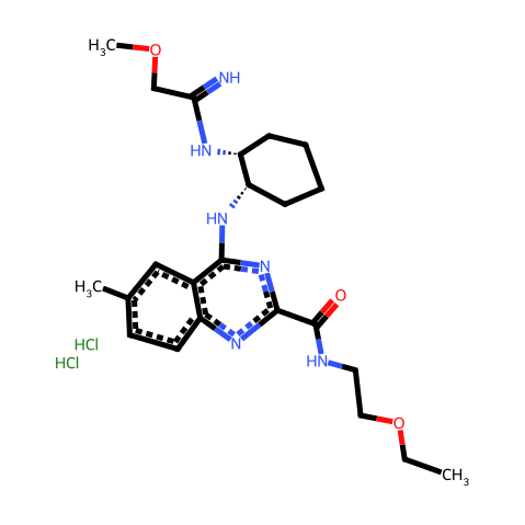 CCOCCNC(=O)c1nc(N[C@H]2CCCC[C@H]2NC(=N)COC)c2cc(C)ccc2n1.Cl.Cl